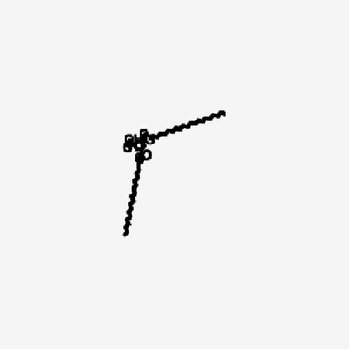 CCCCCCCCCCCCCCCCCCCCOC(=O)C1CC(C(=O)O)CC(C(=O)OCCCCCCCCCCCCCCCCCCCC)C1